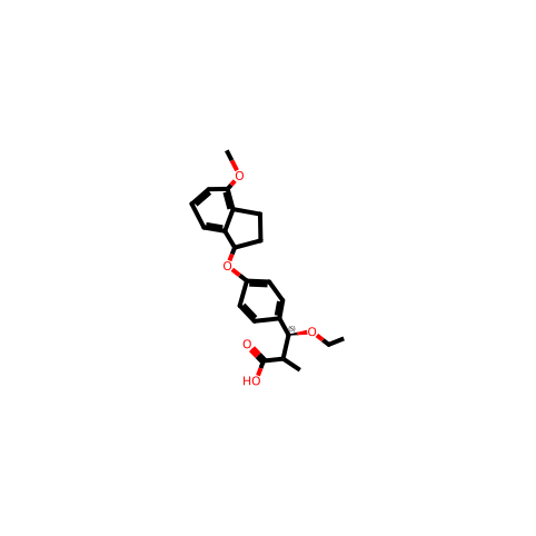 CCO[C@H](c1ccc(OC2CCc3c(OC)cccc32)cc1)C(C)C(=O)O